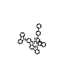 c1ccc(-c2ccc(-c3cc(-c4ccccc4)nc(-n4c5ccc(-n6c7ccccc7c7ccccc76)cc5c5ccc6c7ccccc7n(-c7ccccc7)c6c54)n3)cc2)cc1